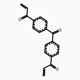 C=CC(=O)c1ccc(C(=O)c2ccc(C(=O)C=C)cc2)cc1